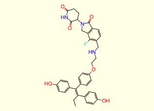 CCC(=C(c1ccc(O)cc1)c1ccc(OCCNCc2ccc3c(c2F)CN(C2CCC(=O)NC2=O)C3=O)cc1)c1ccc(O)cc1